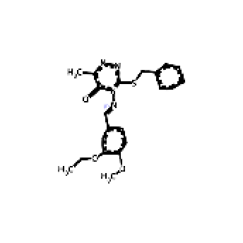 CCOc1cc(/C=N/n2c(SCc3ccccc3)nnc(C)c2=O)ccc1OC